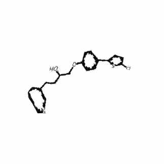 OC(CCc1cccnc1)COc1ccc(-c2ccc(Cl)s2)cc1